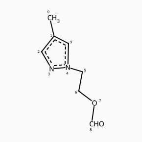 Cc1cnn(CCOC=O)c1